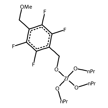 CCC[O][Zr]([O]CCC)([O]CCC)[O]Cc1c(F)c(F)c(COC)c(F)c1F